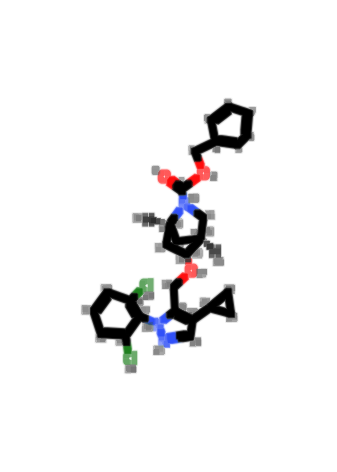 O=C(OCc1ccccc1)N1C[C@@H]2C[C@H]1C[C@H]2OCc1c(C2CC2)cnn1-c1c(Cl)cccc1Cl